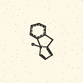 [O-][N+]12C=CC=C1Cc1ccccc12